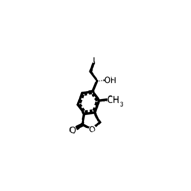 Cc1c([C@@H](O)CI)ccc2c1COC2=O